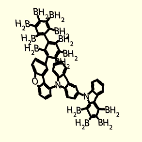 Bc1c(B)c(B)c(-c2c(B)c(B)c(B)c(-c3ccc4oc5cccc(-n6c7ccccc7c7cc(-n8c9ccccc9c9c(B)c(B)c(B)c(B)c98)ccc76)c5c4c3)c2B)c(B)c1B